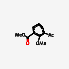 COC(=O)c1cccc(C(C)=O)c1OC